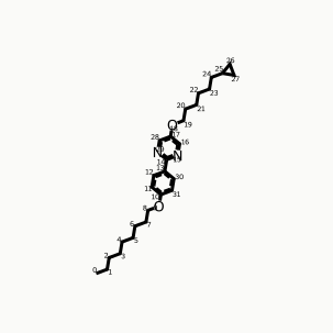 CCCCCCCCCOc1ccc(-c2ncc(OCCCCCCC3CC3)cn2)cc1